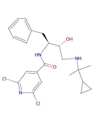 CC(C)(NC[C@@H](O)[C@H](Cc1ccccc1)NC(=O)c1cc(Cl)nc(Cl)c1)C1CC1